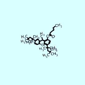 CCCCC(=O)Oc1ccc(C(C)(C)CC(C)(C)C)cc1C(C)c1cc(C(C)(C)CC(C)(C)C)ccc1O